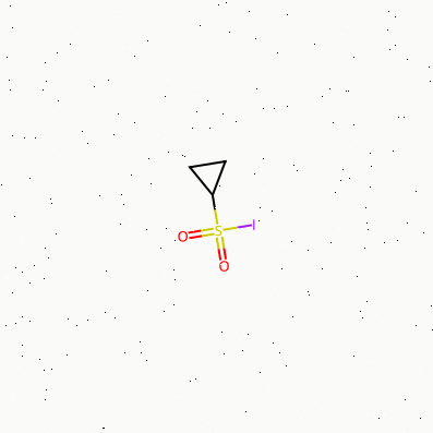 O=S(=O)(I)C1CC1